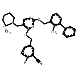 Cc1c(COc2ncc(CN3CCCC[C@H]3C)c(OCc3ccc(F)c(C#N)c3)n2)cccc1-c1ccccc1